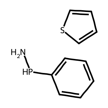 NPc1ccccc1.c1ccsc1